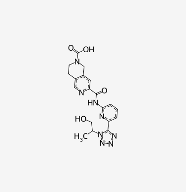 CC(CO)n1nnnc1-c1cccc(NC(=O)c2cc3c(cn2)CCN(C(=O)O)C3)n1